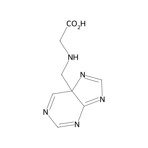 O=C(O)CNCC12C=NC=NC1=NC=N2